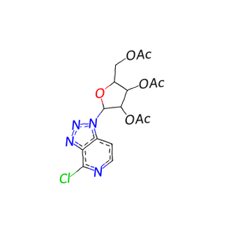 CC(=O)OCC1OC(n2nnc3c(Cl)nccc32)C(OC(C)=O)C1OC(C)=O